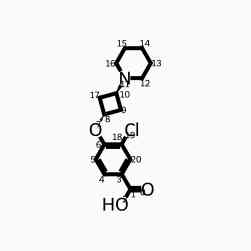 O=C(O)c1ccc(O[C@H]2C[C@H](N3CCCCC3)C2)c(Cl)c1